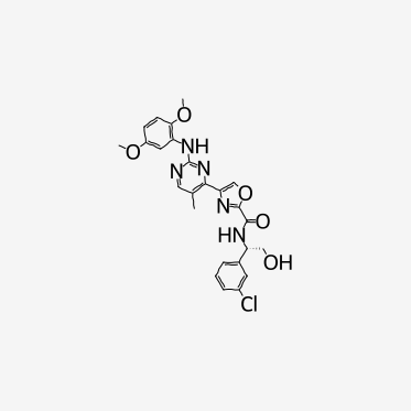 COc1ccc(OC)c(Nc2ncc(C)c(-c3coc(C(=O)N[C@H](CO)c4cccc(Cl)c4)n3)n2)c1